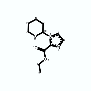 CCOC(=O)c1nccn1C1CCCCO1